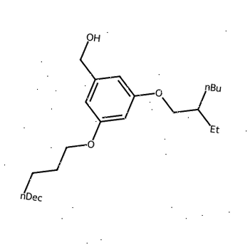 CCCCCCCCCCCCCOc1cc(CO)cc(OCC(CC)CCCC)c1